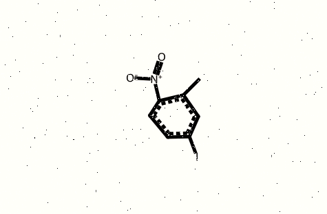 Cc1cc(I)ccc1[N+](=O)[O-]